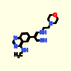 CNc1ncnc2ccc(/C(C=N)=C/NCCN3CCOCC3)cc12